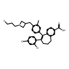 Cc1cc(C2=C(c3ccc(Cl)cc3Cl)CCCc3cc(C(=O)O)ccc32)ccc1CC1CN(CCCF)C1